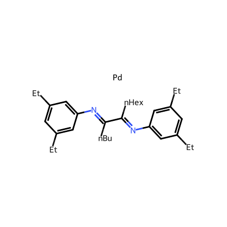 CCCCCCC(=N\c1cc(CC)cc(CC)c1)/C(CCCC)=N/c1cc(CC)cc(CC)c1.[Pd]